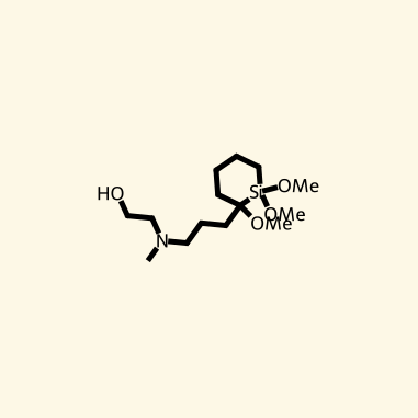 COC1(CCCN(C)CCO)CCCC[Si]1(OC)OC